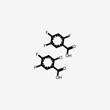 O=C(O)c1cc(F)c(F)cc1Cl.O=C(O)c1cc(F)c(F)cc1F